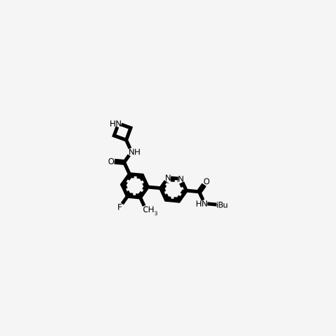 CCC(C)NC(=O)c1ccc(-c2cc(C(=O)NC3CNC3)cc(F)c2C)nn1